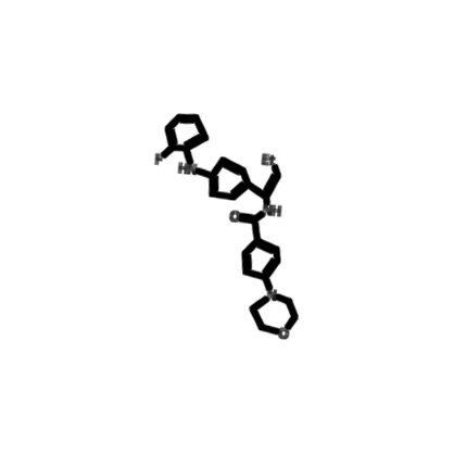 CCC=C(NC(=O)c1ccc(N2CCOCC2)cc1)c1ccc(Nc2ccccc2F)cc1